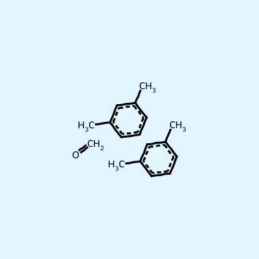 C=O.Cc1cccc(C)c1.Cc1cccc(C)c1